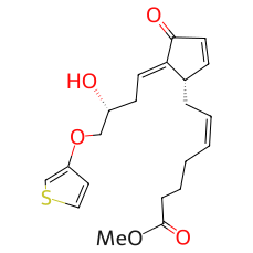 COC(=O)CCC/C=C\C[C@H]1C=CC(=O)/C1=C/C[C@@H](O)COc1ccsc1